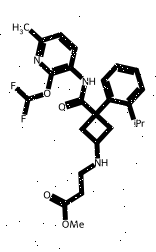 COC(=O)CCNC1CC(C(=O)Nc2ccc(C)nc2OC(F)F)(c2ccccc2C(C)C)C1